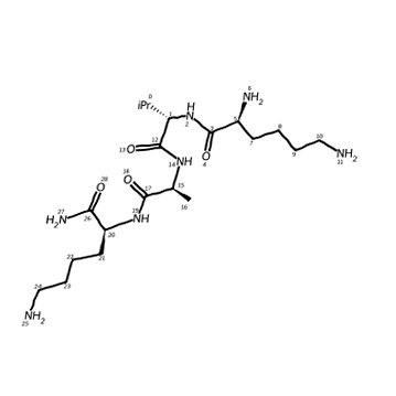 CC(C)[C@H](NC(=O)[C@@H](N)CCCCN)C(=O)N[C@@H](C)C(=O)N[C@@H](CCCCN)C(N)=O